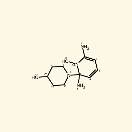 NC1=CC=CC(N)(N2CCC(O)CC2)N1O